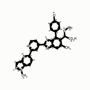 Cc1cc2nc(-c3ccnc(-c4ccc5c(cnn5C)n4)c3)sc2c(-c2ccc(Cl)cc2)c1C(OC(C)(C)C)C(=O)O